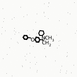 C=C(c1ccc(OCc2ccccc2)cc1)N(C)C1CCCCC1